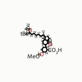 COCO[C@H]1CC[C@](C)(C2CC[C@]3(C)[C@@H]([C@H](C)CCCCCC(O[SiH](C)C)C(C)(C)C)CC[C@H]3C2=O)[C@@H](C(=O)O)C1